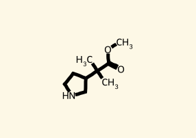 COC(=O)C(C)(C)C1CCNC1